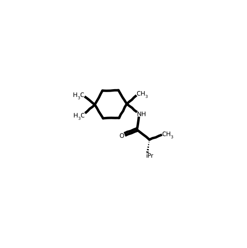 CC(C)[C@@H](C)C(=O)NC1(C)CCC(C)(C)CC1